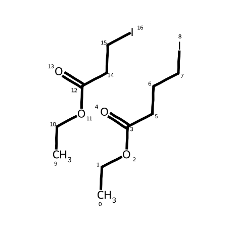 CCOC(=O)CCCI.CCOC(=O)CCI